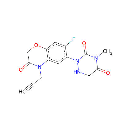 C#CCN1C(=O)COc2cc(F)c(N3NCC(=O)N(C)C3=O)cc21